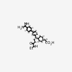 CCNC(=O)CCN(c1nc(-c2ccc(C(=N)N)cc2)cs1)C1CCN(CC(=O)O)CC1